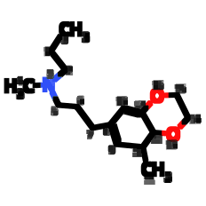 CCCN(C)CCCC1=CC(C)C2OCCOC2=C1